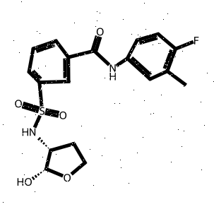 Cc1cc(NC(=O)c2cccc(S(=O)(=O)N[C@@H]3CCO[C@@H]3O)c2)ccc1F